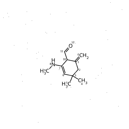 C=C1CC(C)(C)C=C(NC)C1C=O